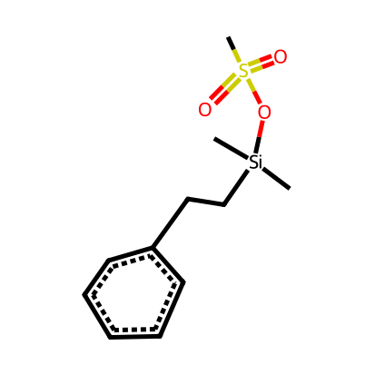 C[Si](C)(CCc1ccccc1)OS(C)(=O)=O